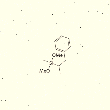 CO[Si](C)(OC)C(C)Cc1ccccc1